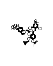 CS(=O)(=O)Nc1ccc2c(ccn2CC(=O)O[C@@H](Cc2c(Cl)c[n+]([O-])cc2Cl)c2ccc(OC(F)F)c(OCC3CC3)c2)c1